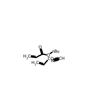 C#N.C=CC(=O)O.C=CC(=O)OCCCC